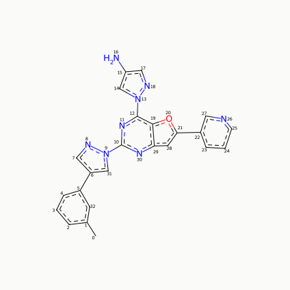 Cc1cccc(-c2cnn(-c3nc(-n4cc(N)cn4)c4oc(-c5cccnc5)cc4n3)c2)c1